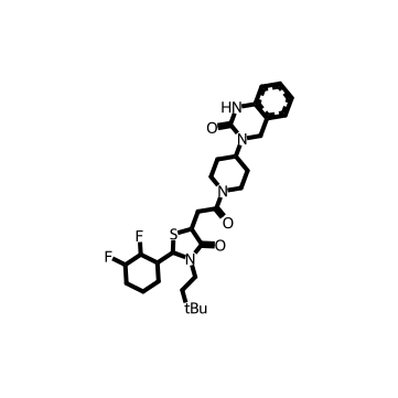 CC(C)(C)CCN1C(=O)C(CC(=O)N2CCC(N3Cc4ccccc4NC3=O)CC2)SC1C1CCCC(F)C1F